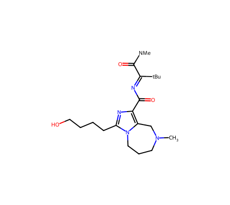 CNC(=O)/C(=N/C(=O)c1nc(CCCCO)n2c1CN(C)CCC2)C(C)(C)C